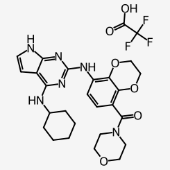 O=C(O)C(F)(F)F.O=C(c1ccc(Nc2nc(NC3CCCCC3)c3cc[nH]c3n2)c2c1OCCO2)N1CCOCC1